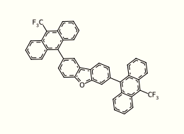 FC(F)(F)c1c2ccccc2c(-c2ccc3c(c2)oc2ccc(-c4c5ccccc5c(C(F)(F)F)c5ccccc45)cc23)c2ccccc12